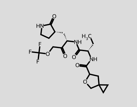 CC[C@H](NC(=O)C1CC2(CC2)CO1)C(=O)N[C@@H](C[C@@H]1CCNC1=O)C(=O)COC(F)(F)F